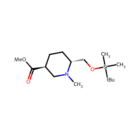 COC(=O)[C@H]1CC[C@H](CO[Si](C)(C)C(C)(C)C)N(C)C1